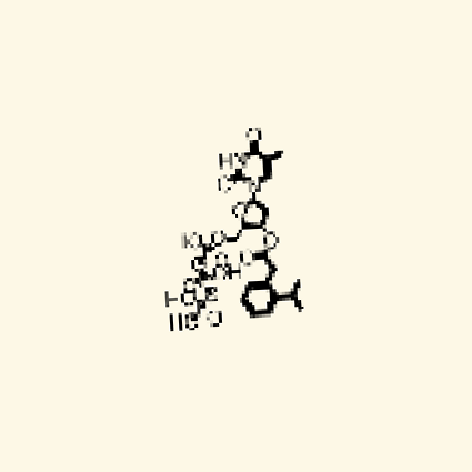 Cc1cn([C@H]2C[C@@H](OC(=O)Cc3ccccc3C(C)C)[C@@H](COP(=O)(O)OP(=O)(O)OP(=O)(O)O)O2)c(=O)[nH]c1=O